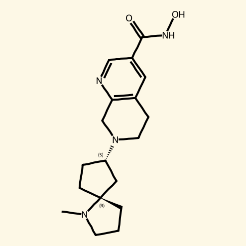 CN1CCC[C@]12CC[C@H](N1CCc3cc(C(=O)NO)cnc3C1)C2